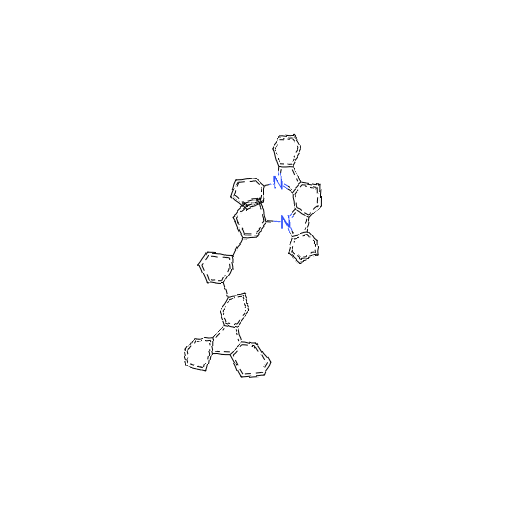 c1ccc(-n2c3ccccc3c3ccc4c5ccccc5n(-c5cccc(-c6cccc(-c7ccc8c9ccccc9c9ccccc9c8c7)c6)c5)c4c32)cc1